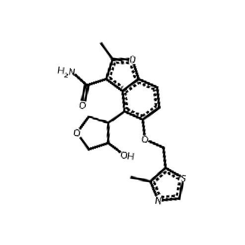 Cc1ncsc1COc1ccc2oc(C)c(C(N)=O)c2c1C1COCC1O